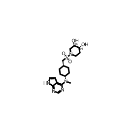 CN(c1ncnc2[nH]ccc12)[C@H]1CC[C@H](CS(=O)(=O)N2CC[C@@H](O)[C@H](O)C2)CC1